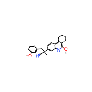 COc1cccc(CC(C)(C#N)c2ccc3c4c(c(OC)nc3c2)CCCC4)c1